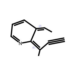 C#C/C(C)=c1/nccc/c1=C/C